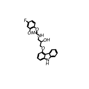 COc1cc(F)ccc1OCNCC(O)COc1cccc2[nH]c3ccccc3c12